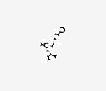 CC(C)[C@H](NC(=O)N[C@H](C(=O)N1C[C@H]2[C@@H]([C@H]1C(=O)NC(C(=O)C(N)=O)C1CC1)C2(C)C)C(C)(C)C)C(=O)c1ccccn1